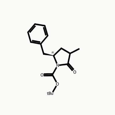 CC1C[C@H](Cc2ccccc2)N(C(=O)OC(C)(C)C)C1=O